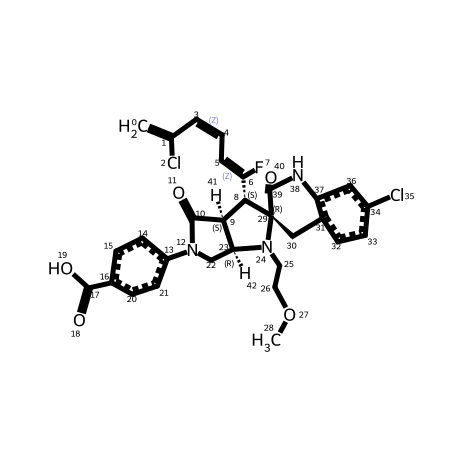 C=C(Cl)/C=C\C=C(/F)[C@H]1[C@@H]2C(=O)N(c3ccc(C(=O)O)cc3)C[C@@H]2N(CCOC)[C@]12Cc1ccc(Cl)cc1NC2=O